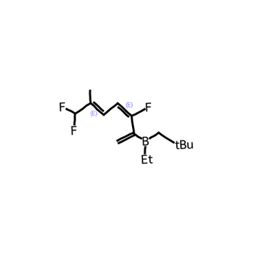 C=C(B(CC)CC(C)(C)C)/C(F)=C\C=C(/C)C(F)F